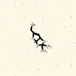 CC1(C)OC2C=C(CO)OC2O1